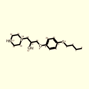 CCCCSc1ccc(OCC(O)CN2CCNCC2)cc1